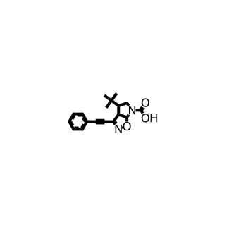 CC(C)(C)C1CN(C(=O)O)C2ON=C(C#Cc3ccccc3)C21